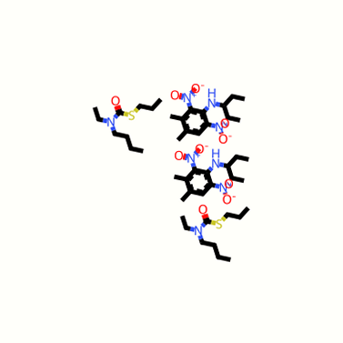 CCC(CC)Nc1c([N+](=O)[O-])cc(C)c(C)c1[N+](=O)[O-].CCC(CC)Nc1c([N+](=O)[O-])cc(C)c(C)c1[N+](=O)[O-].CCCCN(CC)C(=O)SCCC.CCCCN(CC)C(=O)SCCC